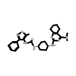 Cc1onc(-c2ccccc2)c1NC(=O)N[C@H]1CC[C@@H](Nc2nc3c(c(N(C)C)n2)CCCC3)CC1